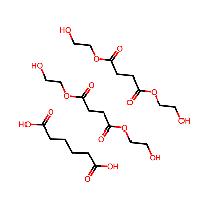 O=C(CCC(=O)OCCO)OCCO.O=C(CCC(=O)OCCO)OCCO.O=C(O)CCCCC(=O)O